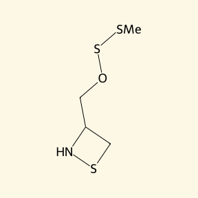 CSSOCC1CSN1